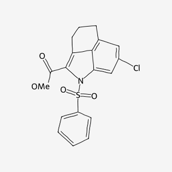 COC(=O)c1c2c3c(cc(Cl)cc3n1S(=O)(=O)c1ccccc1)CCC2